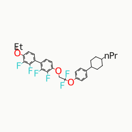 CCCC1CCC(c2ccc(OC(F)(F)COc3ccc(-c4ccc(OCC)c(F)c4F)c(F)c3F)cc2)CC1